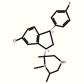 CC1CNCC(C)([C@H]2C[C@@H](c3ccc(F)cc3)c3ccc(Cl)cc32)N1C